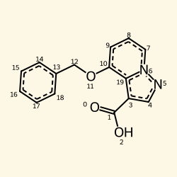 O=C(O)c1cnn2cccc(OCc3ccccc3)c12